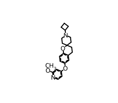 COc1cc(Oc2ccc3c(c2)CCC2(CCN(C4CCC4)CC2)O3)ccn1